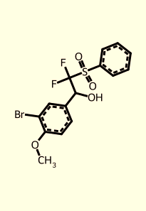 COc1ccc(C(O)C(F)(F)S(=O)(=O)c2ccccc2)cc1Br